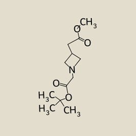 COC(=O)CC1CN(CC(=O)OC(C)(C)C)C1